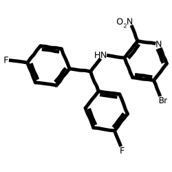 O=[N+]([O-])c1ncc(Br)cc1NC(c1ccc(F)cc1)c1ccc(F)cc1